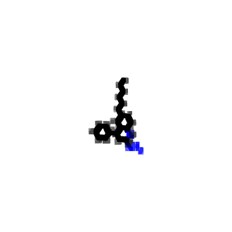 CCCCCCc1ccc2nc(N)cc(-c3ccccc3)c2c1